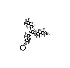 CCSc1c(F)c(F)c(-c2c(F)c(F)c(Sc3cc(Sc4c(F)c(F)c(-c5c(F)c(F)c(SCC)c(F)c5F)c(F)c4F)cc(Sc4c(F)c(F)c(-c5c(F)c(F)c(SCC6CCCCCCCCC6)c(F)c5F)c(F)c4F)c3)c(F)c2F)c(F)c1F